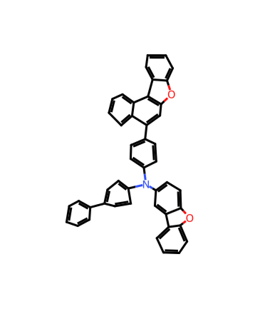 c1ccc(-c2ccc(N(c3ccc(-c4cc5oc6ccccc6c5c5ccccc45)cc3)c3ccc4oc5ccccc5c4c3)cc2)cc1